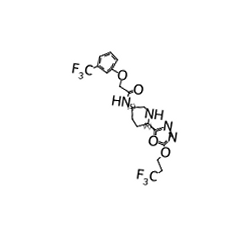 O=C(COc1cccc(C(F)(F)F)c1)N[C@H]1CC[C@H](c2nnc(OCCC(F)(F)F)o2)NC1